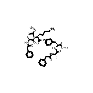 COC(=O)[C@H](CCCCN)N(C(=O)OC(C)(C)C)C(=O)[C@H](C)NC(=O)Cc1ccccc1.COC(=O)[C@H](Cc1ccccc1)NC(=O)[C@H](C)NC(=O)Cc1ccccc1